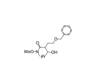 CON(C)C(=O)C(CCOCc1ccccc1)C(O)C(C)C